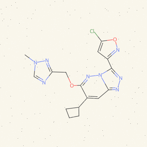 Cn1cnc(COc2nn3c(-c4cc(Cl)on4)nnc3cc2C2CCC2)n1